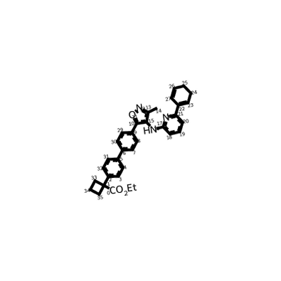 CCOC(=O)C1(c2ccc(-c3ccc(-c4onc(C)c4Nc4cccc(C5=CCCC=C5)n4)cc3)cc2)CCC1